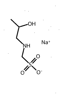 CC(O)CNCS(=O)(=O)[O-].[Na+]